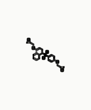 O=S(=O)(c1ccc(OCC2CO2)cc1)c1ccc(OCC2CO2)c2ccccc12